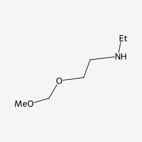 CCNCCOCOC